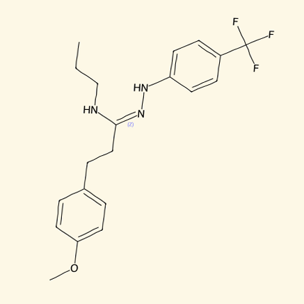 CCCN/C(CCc1ccc(OC)cc1)=N\Nc1ccc(C(F)(F)F)cc1